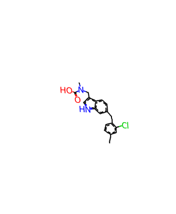 Cc1ccc(Cc2ccc3c(CN(C)C(=O)O)c[nH]c3c2)c(Cl)c1